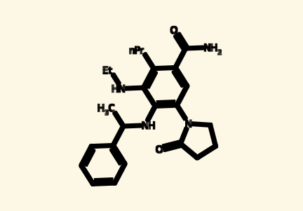 CCCc1c(C(N)=O)cc(N2CCCC2=O)c(NC(C)c2ccccc2)c1NCC